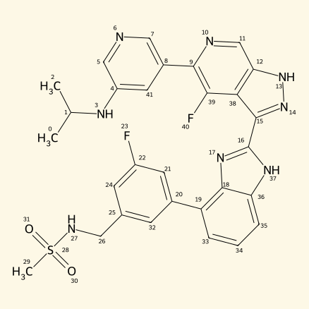 CC(C)Nc1cncc(-c2ncc3[nH]nc(-c4nc5c(-c6cc(F)cc(CNS(C)(=O)=O)c6)cccc5[nH]4)c3c2F)c1